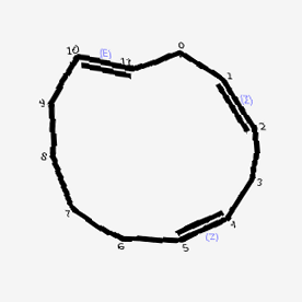 [CH]1/C=C\C/C=C\CCCC/C=C/1